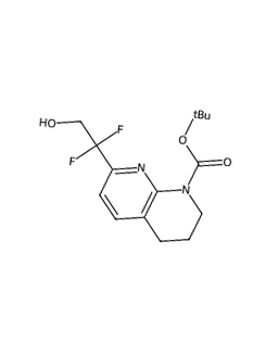 CC(C)(C)OC(=O)N1CCCc2ccc(C(F)(F)CO)nc21